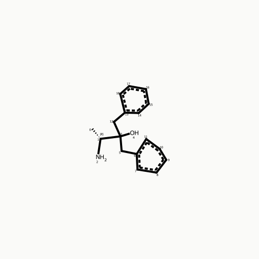 C[C@@H](N)C(O)(Cc1ccccc1)Cc1ccccc1